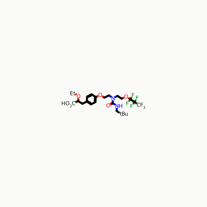 CCOC(Cc1ccc(OCCN(CCOC(F)(F)C(F)(F)C(F)(F)F)C(=O)NCC(C)(C)C)cc1)C(=O)O